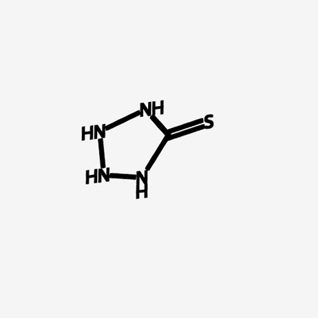 S=C1NNNN1